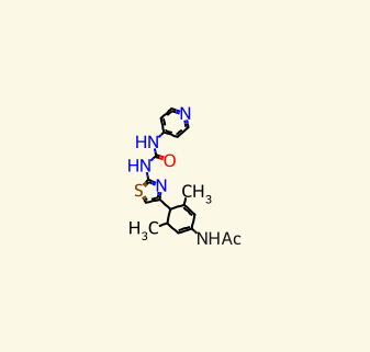 CC(=O)NC1=CC(C)C(c2csc(NC(=O)Nc3ccncc3)n2)C(C)=C1